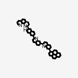 C1=CC(c2ccc3cc(-c4ccc5ccc(-c6ccc7ccc(-c8ccc9ccc%10cccc%11ccc8c9c%10%11)cc7n6)cc5n4)ccc3c2)Nc2c1ccc1cccnc21